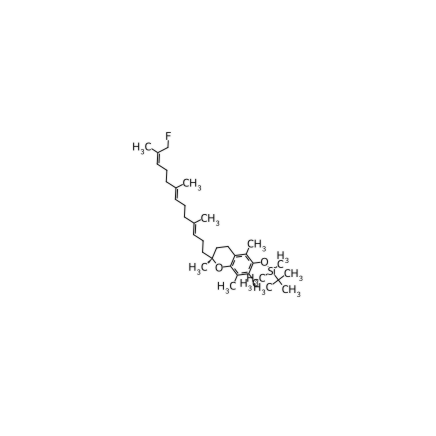 C/C(=C/CC/C(C)=C/CC/C(C)=C/CC[C@]1(C)CCc2c(C)c(O[Si](C)(C)C(C)(C)C)c(C)c(C)c2O1)CF